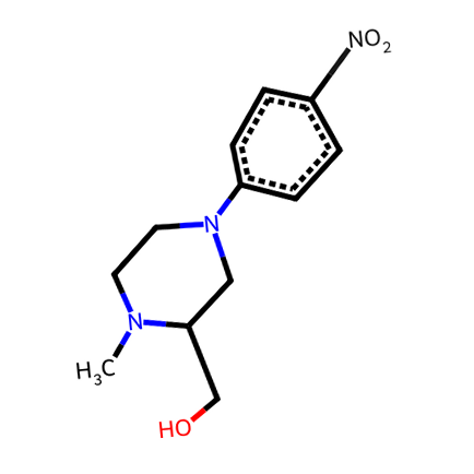 CN1CCN(c2ccc([N+](=O)[O-])cc2)CC1CO